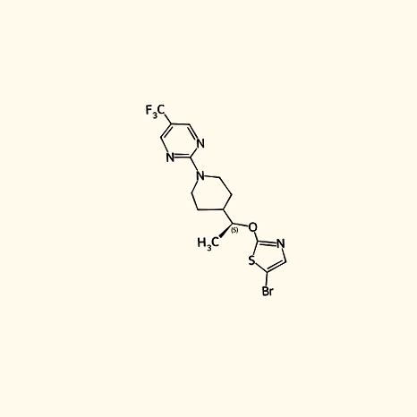 C[C@H](Oc1ncc(Br)s1)C1CCN(c2ncc(C(F)(F)F)cn2)CC1